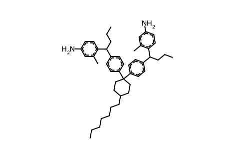 CCCCCCCC1CCC(c2ccc(C(CCC)c3ccc(N)cc3C)cc2)(c2ccc(C(CCC)c3ccc(N)cc3C)cc2)CC1